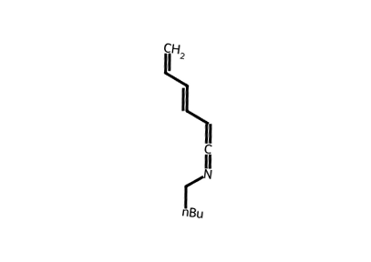 C=CC=CC=C=NCCCCC